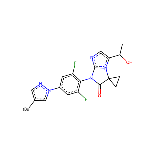 CC(O)c1cnc2n1C1(CC1)C(=O)N2c1c(F)cc(-n2cc(C(C)(C)C)cn2)cc1F